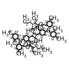 CCCCC(CC)C(=O)Nc1cc(N(c2ccc(C)cc2C)c2ccc(C)cc2C)ccc1C1C(O)C(c2ccc(N(c3ccc(C)cc3C)c3ccc(C)cc3C)cc2NC(=O)C(CC)CCCC)C1O